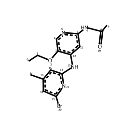 CCOc1cnc(NC(C)=O)cc1Nc1cc(C)cc(Br)n1